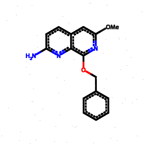 COc1cc2ccc(N)nc2c(OCc2ccccc2)n1